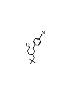 CC(C)(C)CC1CCC(=O)C(c2ccc(C#N)cc2)C1